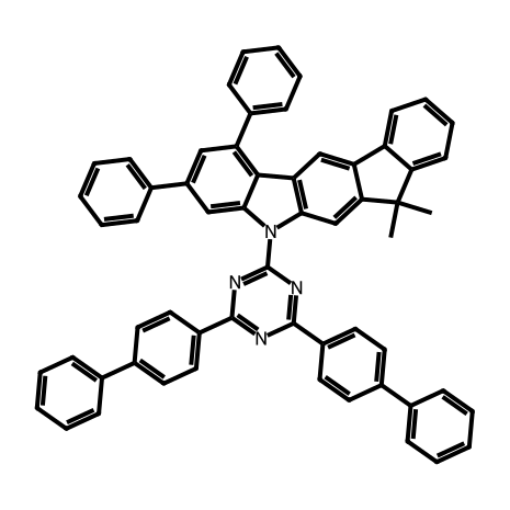 CC1(C)c2ccccc2-c2cc3c4c(-c5ccccc5)cc(-c5ccccc5)cc4n(-c4nc(-c5ccc(-c6ccccc6)cc5)nc(-c5ccc(-c6ccccc6)cc5)n4)c3cc21